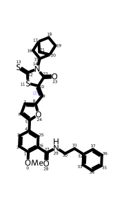 COc1ccc(-c2ccc(/C=C3\SC(=S)N(C4CC5CCC4C5)C3=O)o2)cc1C(=O)NCCc1ccccc1